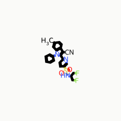 Cc1ccc2c(C#N)c(-c3ccc(S(=O)(=O)NC(CF)CF)cn3)n(-c3ccccc3)c2c1